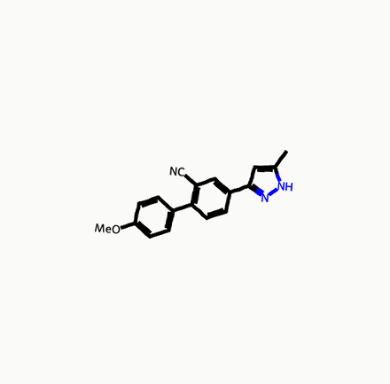 COc1ccc(-c2ccc(-c3cc(C)[nH]n3)cc2C#N)cc1